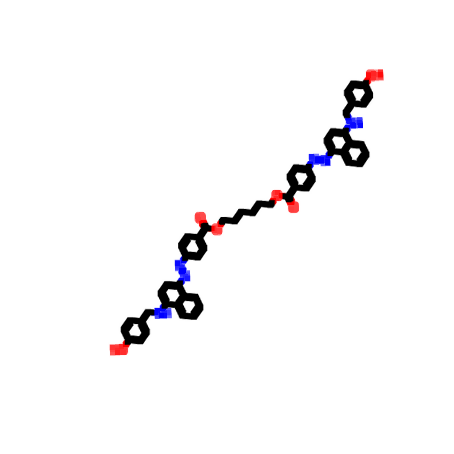 O=C(OCCCCCCOC(=O)c1ccc(/N=N/c2ccc(NCc3ccc(O)cc3)c3ccccc23)cc1)c1ccc(N=Nc2ccc(NCc3ccc(O)cc3)c3ccccc23)cc1